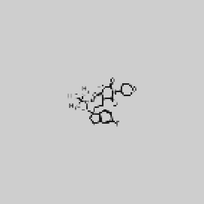 CC(C)(C)[S@+]([O-])N[C@@]1(CCC2C(=O)NC(=O)N(C3CCOCC3)C2=O)CCc2cc(F)ccc21